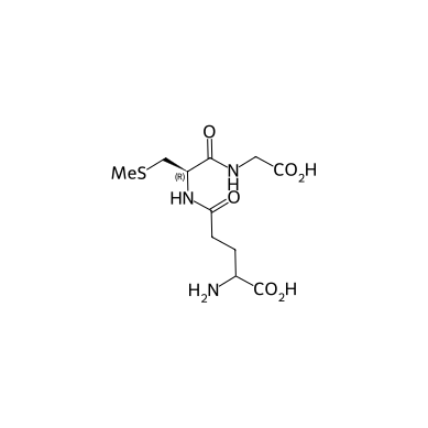 CSC[C@H](NC(=O)CCC(N)C(=O)O)C(=O)NCC(=O)O